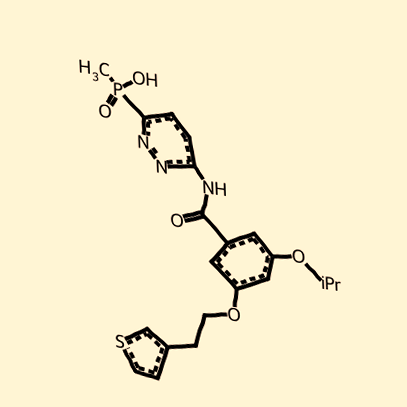 CC(C)Oc1cc(OCCc2ccsc2)cc(C(=O)Nc2ccc(P(C)(=O)O)nn2)c1